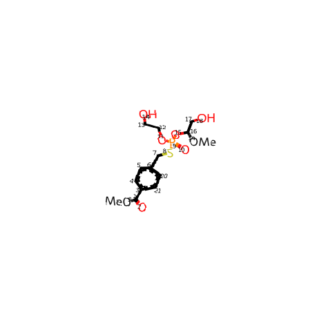 COC(=O)c1ccc(CSP(=O)(OCCO)OC(CO)OC)cc1